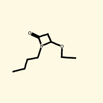 CCCCN1C(=O)CC1OCC